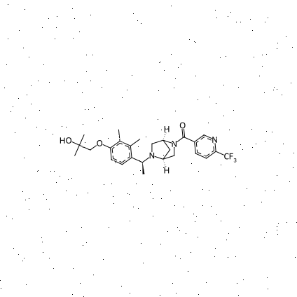 Cc1c(OCC(C)(C)O)ccc([C@H](C)N2C[C@@H]3C[C@H]2CN3C(=O)c2ccc(C(F)(F)F)nc2)c1C